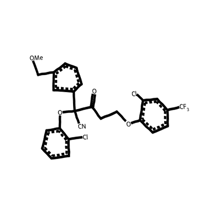 COCc1cccc(C(C#N)(Oc2ccccc2Cl)C(=O)CCOc2ccc(C(F)(F)F)cc2Cl)c1